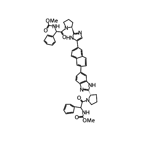 COC(=O)NC(C(=O)N1CCC[C@H]1c1ncc(-c2ccc3cc(-c4ccc5nc([C@@H]6CCCN6C(=O)C(NC(=O)OC)c6ccccc6)[nH]c5c4)ccc3c2)[nH]1)c1ccccc1